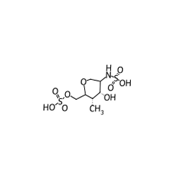 C[C@@H]1C(COS(=O)(=O)O)OCC(NS(=O)(=O)O)[C@@H]1O